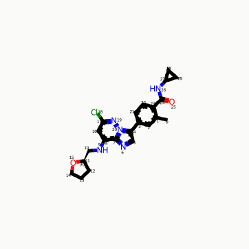 Cc1cc(-c2cnc3c(NC[C@H]4CCCO4)cc(Cl)nn23)ccc1C(=O)NC1CC1